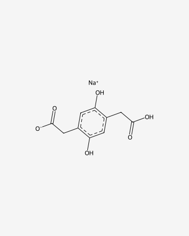 O=C([O-])Cc1cc(O)c(CC(=O)O)cc1O.[Na+]